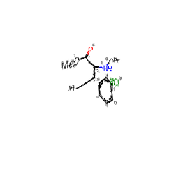 CCCNC(CC(C)C)C(=O)OC.Cl.c1ccccc1